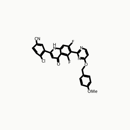 COc1ccc(COc2ccnc(-c3c(F)cc4[nH]c(-c5cc(C#N)ccc5Cl)cc(=O)c4c3F)n2)cc1